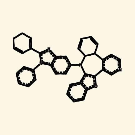 C1=CC2c3ccncc3-c3oc4ccccc4c3N(c3ccc4c(c3)nc(C3=CCCC=C3)n4-c3ccccc3)C2C=C1